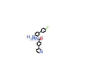 Nc1ccc(-c2ccc(F)cc2)cc1NC(=O)c1ccc(-c2cccnc2)cc1